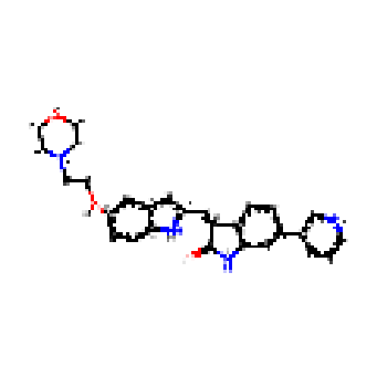 O=C1Nc2cc(-c3cccnc3)ccc2C1=Cc1cc2cc(OCCN3CCOCC3)ccc2[nH]1